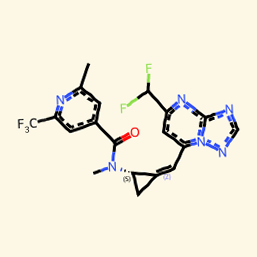 Cc1cc(C(=O)N(C)[C@H]2C/C2=C/c2cc(C(F)F)nc3ncnn23)cc(C(F)(F)F)n1